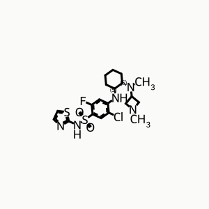 CN1CC(N(C)[C@H]2CCCC[C@@H]2Nc2cc(F)c(S(=O)(=O)Nc3nccs3)cc2Cl)C1